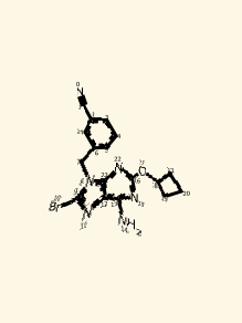 N#Cc1cccc(Cn2c(Br)nc3c(N)nc(OC4CCC4)nc32)c1